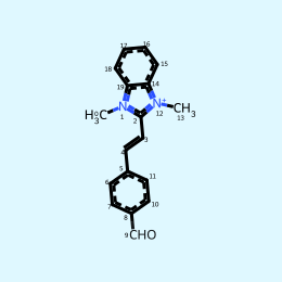 Cn1c(C=Cc2ccc(C=O)cc2)[n+](C)c2ccccc21